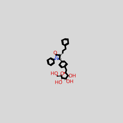 O=C1[C@H](CCCc2ccccc2)[C@@H](c2ccc(CC3O[C@H](CO)[C@@H](O)[C@H](O)[C@H]3O)cc2)N1c1ccccc1